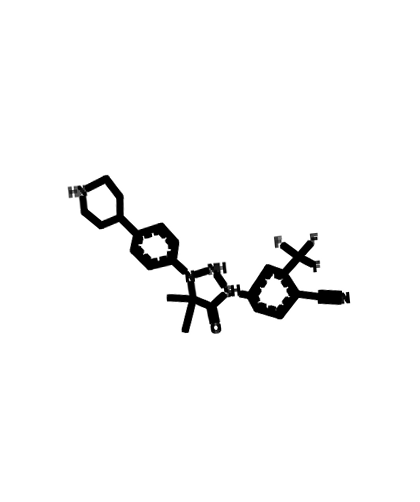 CC1(C)C(=O)[SH](c2ccc(C#N)c(C(F)(F)F)c2)NN1c1ccc(C2CCNCC2)cc1